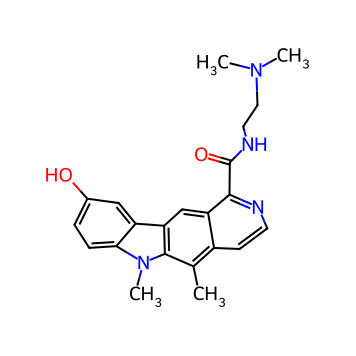 Cc1c2ccnc(C(=O)NCCN(C)C)c2cc2c3cc(O)ccc3n(C)c12